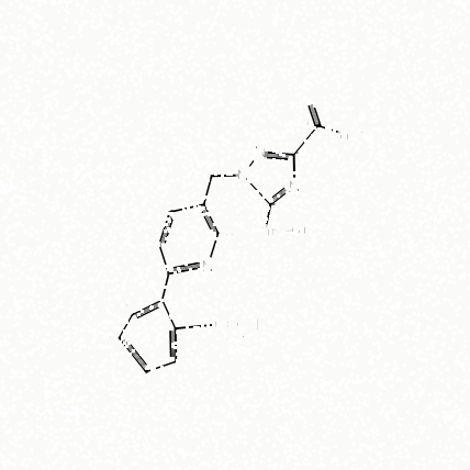 CCCCCc1nc(C(=O)CCC)nn1Cc1ccc(-c2ccccc2C(=O)O)nc1